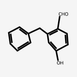 O=Cc1ccc(O)cc1Cc1ccccc1